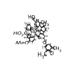 COc1ccc(N2C[C@@H](C)n3c(c(CCCOc4cc(C)c(Cl)c(C)c4)c4ccc(Cl)c(-c5c(C)nc(CO)nc5C)c43)C2=O)c2c1cc(C(=O)O)n2Cc1ccccn1